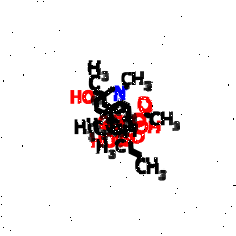 CCCC(=O)O[C@@H]1C2[C@@H]3C[C@]1(O)[C@@H](OC)[C@H](O)[C@]2(OC(C)=O)C1C(OC)C2C4(CC)CN(CC)C1C23[C@@H](OC)C[C@H]4O